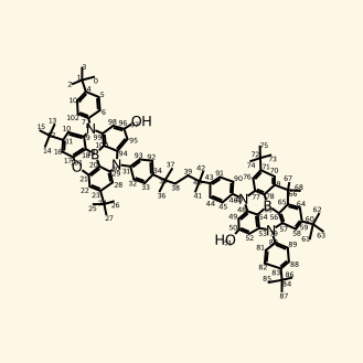 CC(C)(C)c1ccc(N2c3cc(C(C)(C)C)cc4c3B3c5c(cc(C(C)(C)C)cc5N(c5ccc(C(C)(C)CCC(C)(C)c6ccc(N7c8cc(O)cc9c8B8c%10c(cc(C(C)(C)C)cc%10C(C)(C)c%10cc(C(C)(C)C)cc7c%108)N9c7ccc(C(C)(C)C)cc7)cc6)cc5)c5cc(O)cc2c53)O4)cc1